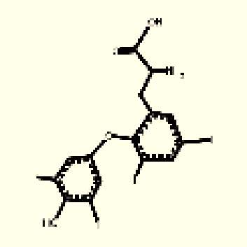 NC(Cc1cc(I)cc(I)c1Oc1cc(I)c(O)c(I)c1)C(=O)O